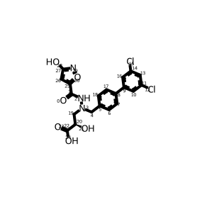 O=C(NN(Cc1ccc(-c2cc(Cl)cc(Cl)c2)cc1)C[C@@H](O)C(=O)O)c1cc(O)no1